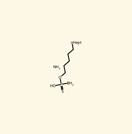 BP(O)(=S)OCCCCCCCCCCCC.N